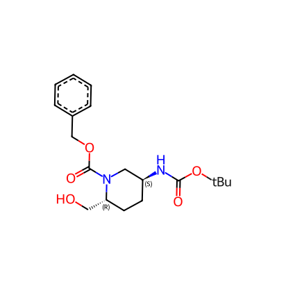 CC(C)(C)OC(=O)N[C@H]1CC[C@H](CO)N(C(=O)OCc2ccccc2)C1